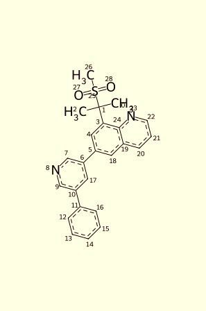 CC(C)(c1cc(-c2cncc(-c3ccccc3)c2)cc2cccnc12)S(C)(=O)=O